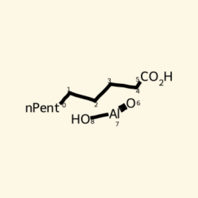 CCCCCCCCCC(=O)O.[O]=[Al][OH]